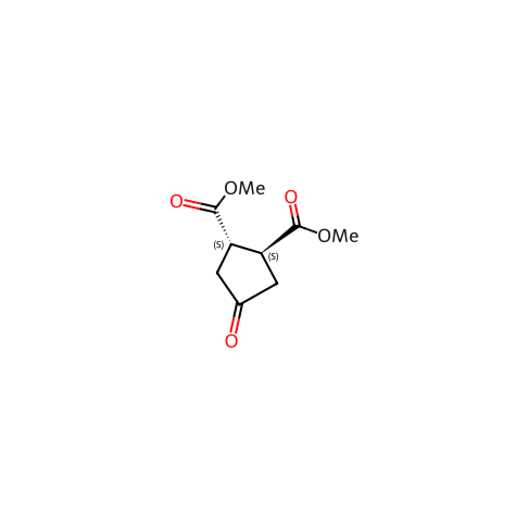 COC(=O)[C@H]1CC(=O)C[C@@H]1C(=O)OC